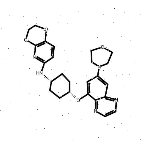 c1cnc2c(O[C@H]3CC[C@@H](Nc4ccc5c(n4)OCCO5)CC3)cc(N3CCOCC3)cc2n1